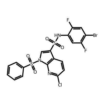 O=S(=O)(Nc1cc(F)c(Br)cc1F)c1cn(S(=O)(=O)c2ccccc2)c2nc(Cl)ccc12